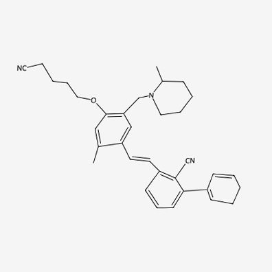 Cc1cc(OCCCCC#N)c(CN2CCCCC2C)cc1/C=C/c1cccc(C2=CCCC=C2)c1C#N